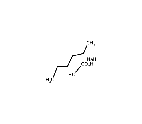 CCCCCC.O=C(O)O.[NaH]